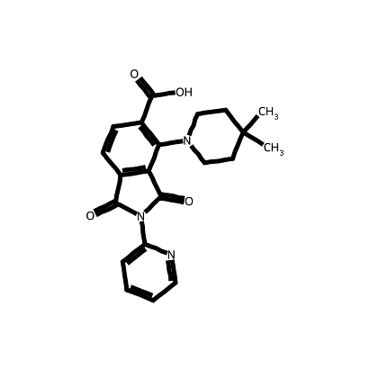 CC1(C)CCN(c2c(C(=O)O)ccc3c2C(=O)N(c2ccccn2)C3=O)CC1